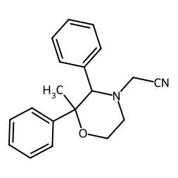 CC1(c2ccccc2)OCCN(CC#N)C1c1ccccc1